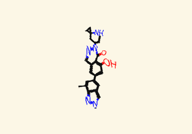 Cc1cc(-c2cc(O)c3c(=O)n(C4CCNC5(CC5)C4)ncc3c2)cc2cn(C)nc12